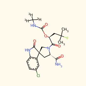 [2H]C([2H])([2H])NC(=O)O[C@@H](CC(C)(C)F)C(=O)N1C[C@]2(C[C@H]1C(N)=O)C(=O)Nc1ccc(Cl)cc12